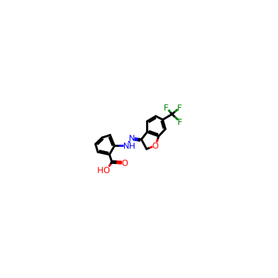 O=C(O)c1ccccc1N/N=C1\COc2cc(C(F)(F)F)ccc21